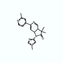 Cc1cc(C2=CC3C(C=N2)C(C)(C)C(=O)N3c2cn(C)cn2)ccn1